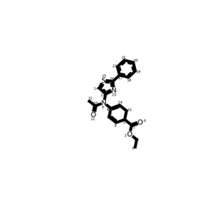 CCOC(=O)C1C=CC(N(C(C)=O)c2csc(-c3ccccc3)n2)=CC1